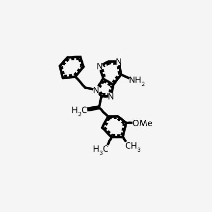 C=C(c1cc(C)c(C)c(OC)c1)c1nc2c(N)ncnc2n1Cc1ccccc1